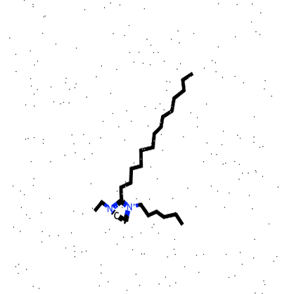 CCCCCCCCCCCCCCc1n(CC)cc[n+]1CCCCCC